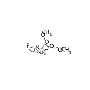 COCCOc1cc2c(cc1OCCOC)C1=Nc3cc(F)ccc3CN1C=N2